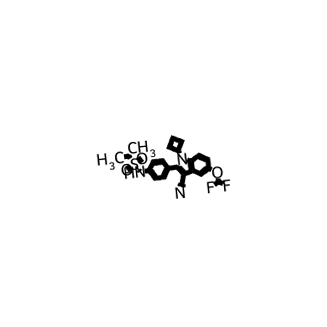 CC(C)S(=O)(=O)Nc1ccc(-c2c(C#N)c3cc(OC(F)F)ccc3n2C2CCC2)cc1